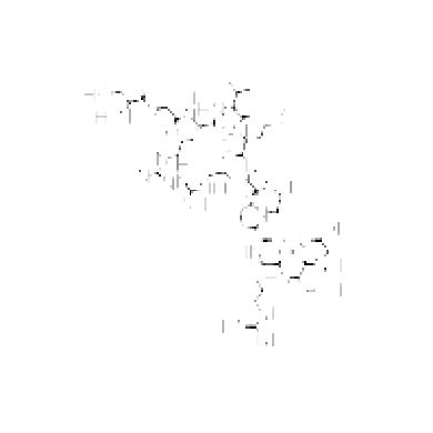 CSCC[C@H](NC(=O)[C@@H](NC(=O)[C@H](CCCNC(=N)N)NC(=O)CNC(=O)[C@@H](N)CO)C(C)C)C(=O)N[C@@H](CCCNC(=N)N)C(=O)NCC(=O)N1CCC[C@H]1C(=O)N[C@@H](CCCNC(=N)N)C(=O)N[C@@H](CO)C(=O)N[C@@H](C)C(=O)O